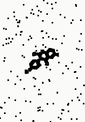 O=c1c2cc(I)ccc2nc(Cl)n1-c1ccc(Br)cc1